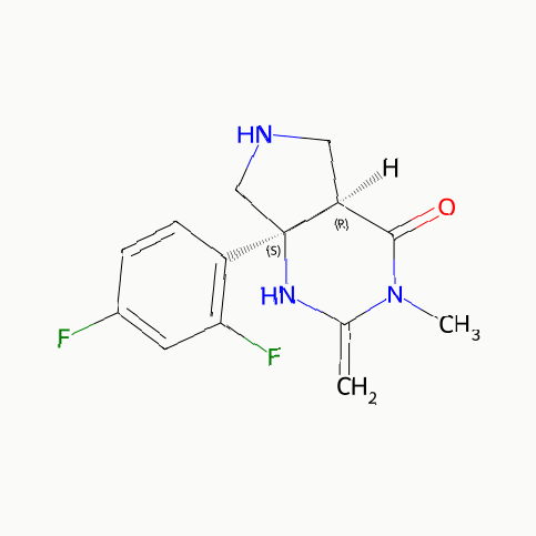 C=C1N[C@@]2(c3ccc(F)cc3F)CNC[C@H]2C(=O)N1C